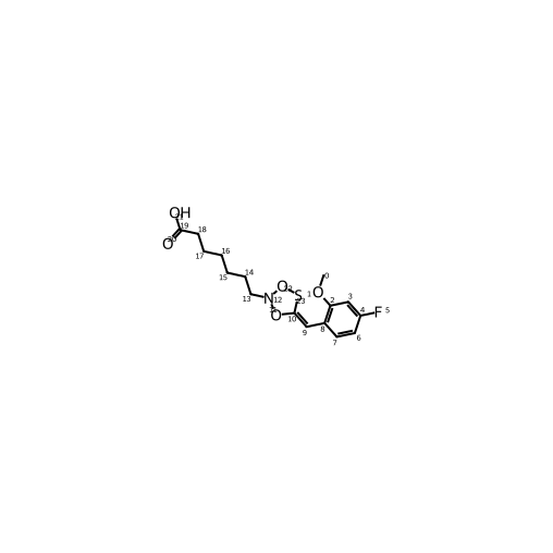 COc1cc(F)ccc1/C=C1/ON(CCCCCCC(=O)O)OS1